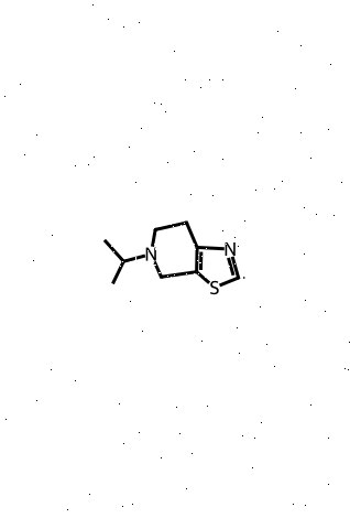 CC(C)N1CCc2n[c]sc2C1